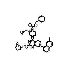 Cc1ccc2cccc(N3CCc4c(nc(OC[C@@H]5CCCN5C)nc4N4CCN(C(=O)OCc5ccccc5)[C@@H](CC#N)C4)C3)c2c1